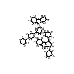 c1ccc(-c2ccc(-c3nc(-c4cccc(-c5ccc(-c6ccccc6)c6oc7ccccc7c56)c4)nc(-n4c5ccccc5c5ccccc54)n3)cc2)cc1